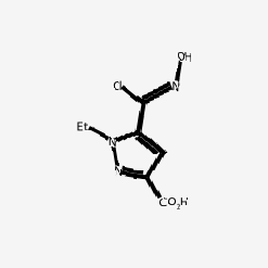 CCn1nc(C(=O)O)cc1C(Cl)=NO